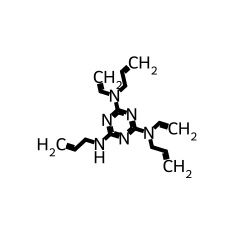 C=CCNc1nc(N(C=C)CC=C)nc(N(C=C)CC=C)n1